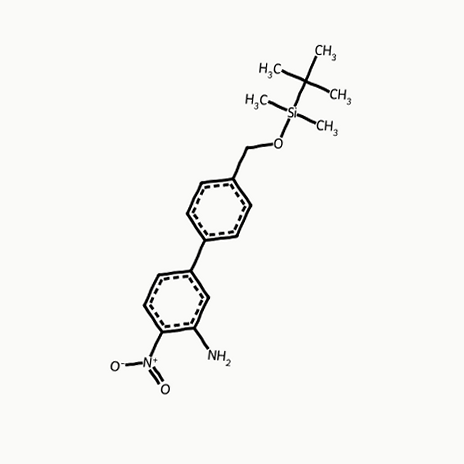 CC(C)(C)[Si](C)(C)OCc1ccc(-c2ccc([N+](=O)[O-])c(N)c2)cc1